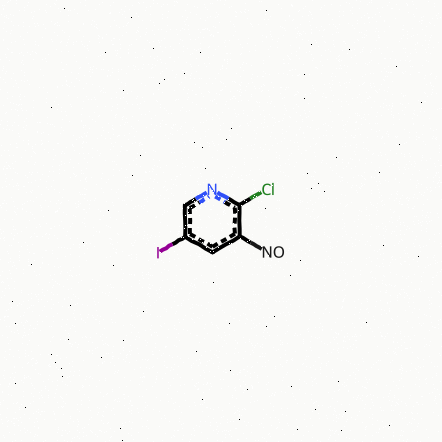 O=Nc1cc(I)cnc1Cl